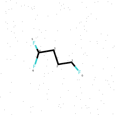 FCC[CH]C(F)F